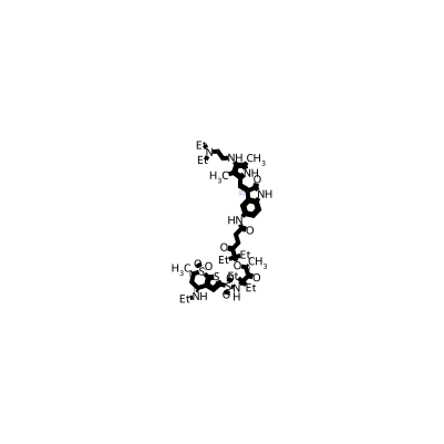 CCN[C@H]1C[C@H](C)S(=O)(=O)c2sc(S(=O)(=O)NC(CC)(CC)C(=O)[C@H](C)OC(CC)(CC)C(=O)CCC(=O)Nc3ccc4c(c3)/C(=C/c3[nH]c(C)c(NCCN(CC)CC)c3C)C(=O)N4)cc21